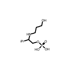 CC(C)C(COP(=O)(O)O)NCCCO